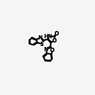 O=c1[nH]c(-c2nc3ccccc3s2)c(-c2nc3ccccc3o2)o1